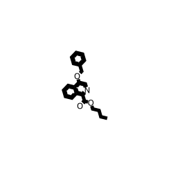 CCCCOC(=O)c1ncc(OCc2ccccc2)c2ccccc12